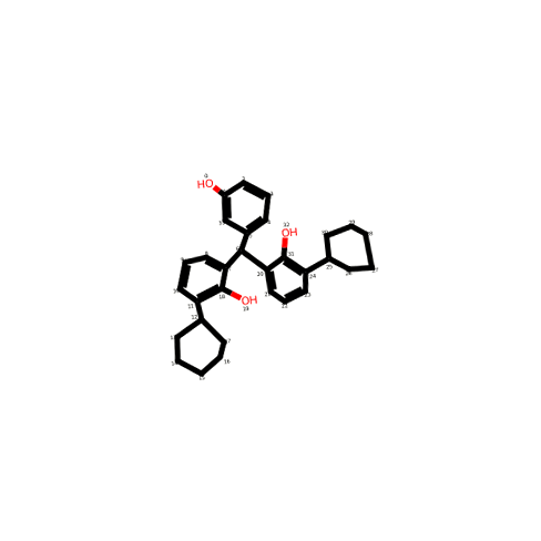 Oc1cccc(C(c2cccc(C3CCCCC3)c2O)c2cccc(C3CCCCC3)c2O)c1